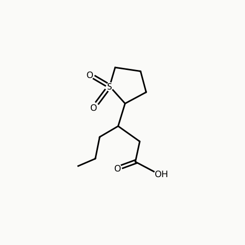 CCCC(CC(=O)O)C1CCCS1(=O)=O